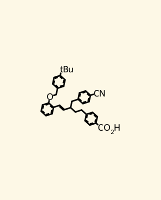 CC(C)(C)c1ccc(COc2ccccc2C=CC(CCc2ccc(C(=O)O)cc2)Cc2ccc(C#N)cc2)cc1